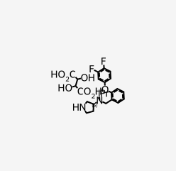 CC(C)N(Cc1ccccc1Oc1ccc(F)c(F)c1)[C@H]1CCNC1.O=C(O)C(O)C(O)C(=O)O